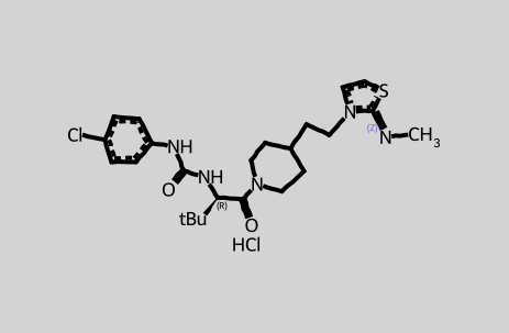 C/N=c1\sccn1CCC1CCN(C(=O)[C@H](NC(=O)Nc2ccc(Cl)cc2)C(C)(C)C)CC1.Cl